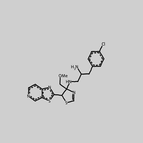 COCC1(NCC(N)Cc2ccc(Cl)cc2)N=CSC1c1nc2ccncc2s1